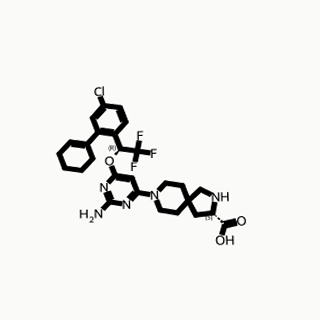 Nc1nc(O[C@H](c2ccc(Cl)cc2C2=CCCCC2)C(F)(F)F)cc(N2CCC3(CC2)CN[C@H](C(=O)O)C3)n1